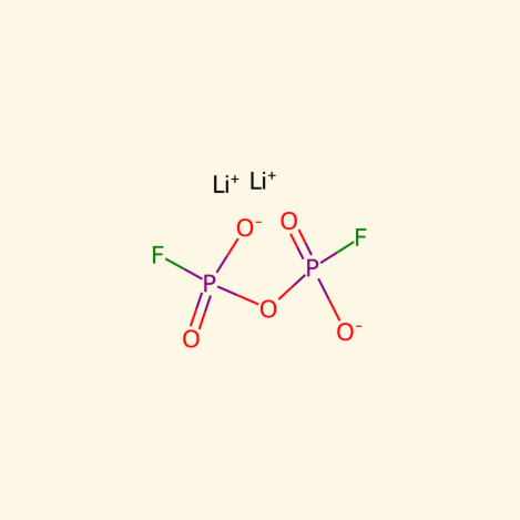 O=P([O-])(F)OP(=O)([O-])F.[Li+].[Li+]